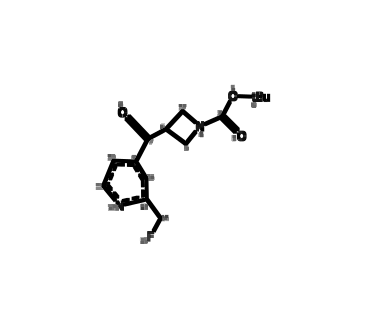 CC(C)(C)OC(=O)N1CC(C(=O)c2ccnc(CF)c2)C1